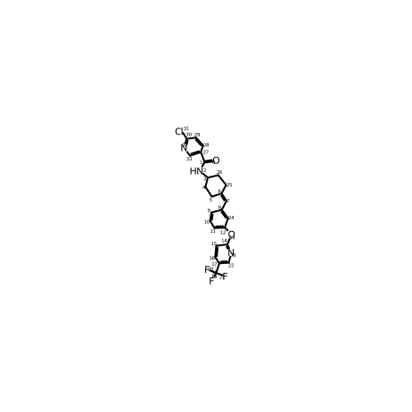 O=C(NC1CCC(=Cc2cccc(Oc3ccc(C(F)(F)F)cn3)c2)CC1)c1ccc(Cl)nc1